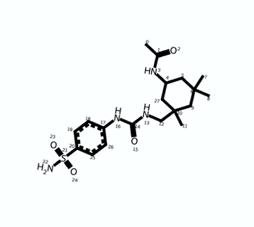 CC(=O)NC1CC(C)(C)CC(C)(CNC(=O)Nc2ccc(S(N)(=O)=O)cc2)C1